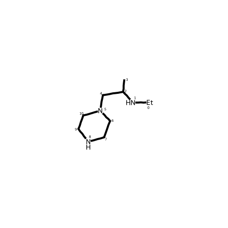 CCNC(C)CN1CCNCC1